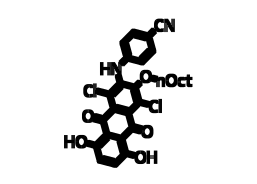 CCCCCCCCOc1c(Cl)c2c(c(Cl)c1Nc1ccc(C#N)cc1)C(=O)c1c(O)ccc(O)c1C2=O